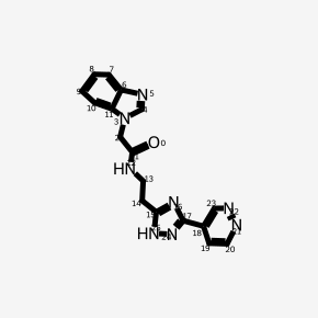 O=C(Cn1cnc2ccccc21)NCCc1nc(-c2ccnnc2)n[nH]1